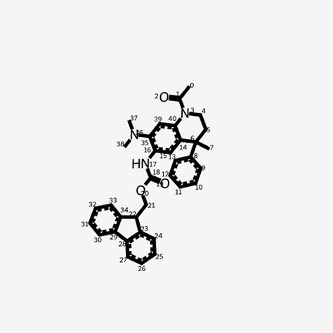 CC(=O)N1CCC(C)(c2ccccc2)c2cc(NC(=O)OCC3c4ccccc4-c4ccccc43)c(N(C)C)cc21